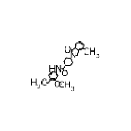 C=Cc1ccc(NC(=O)C2CCC(N3Cc4c(C)cccc4C3=O)CC2)cc1OC